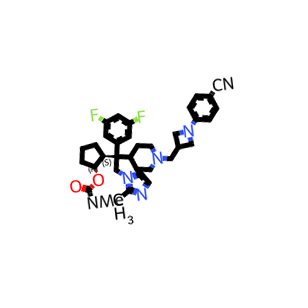 CNC(=O)O[C@@H]1CCC[C@H]1C(Cn1ccnc1C)(c1cc(F)cc(F)c1)C1CCN(CC2CN(c3ccc(C#N)cc3)C2)CC1